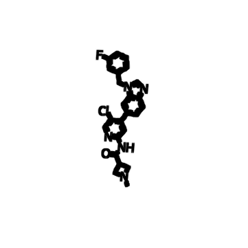 CN1CC(C(=O)Nc2cc(-c3ccc4ncn(Cc5cccc(F)c5)c4c3)c(Cl)cn2)C1